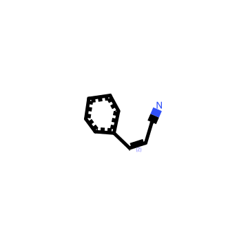 N#C/C=[C]\c1ccccc1